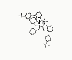 CC(C)(C)c1ccc(-c2cccc3c2C=C2[CH]3[Hf]([CH3])([CH3])[CH]3C(=Cc4c(-c5ccc(C(C)(C)C)cc5)cccc43)C2(Cc2ccccc2)Cc2ccccc2)cc1